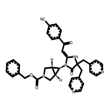 N#Cc1ccc(C(=O)/C=C2\NC(Cc3ccncc3)(Cc3ccncc3)C(=O)N2[C@H]2[C@@H]3CN(C(=O)OCc4ccccc4)C[C@@H]32)cc1